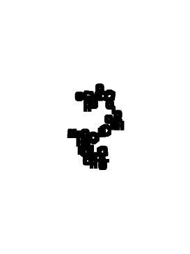 COc1cc(N2CCC(NC(=O)C(C)OCCOc3cccc4c3CN(C3CCC(=O)NC3=O)C4=O)CC2)ccc1Nc1ncc(Cl)c(Nc2ccccc2P(C)(C)=O)n1